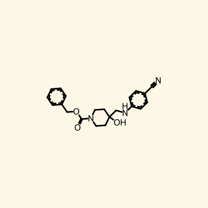 N#Cc1ccc(NCC2(O)CCN(C(=O)OCc3ccccc3)CC2)cc1